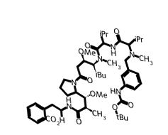 CC[C@H](C)[C@@H]([C@@H](CC(=O)N1CCCC1[C@H](OC)[C@@H](C)C(=O)NC(Cc1ccccc1)C(=O)O)OC)N(C)C(=O)C(NC(=O)C(C(C)C)N(C)Cc1cccc(NC(=O)OC(C)(C)C)c1)C(C)C